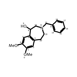 COc1cc2c(cc1OC)C(O)CN(Cc1ccccc1)CC2